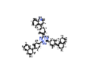 c1ccc2c(-c3ccc(-c4nc(-c5ccc(-c6cccc7ccccc67)cc5)nc(-c5ccc(-c6ccnc7ccccc67)cc5)n4)cc3)cccc2c1